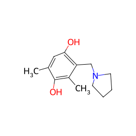 Cc1cc(O)c(CN2CCCC2)c(C)c1O